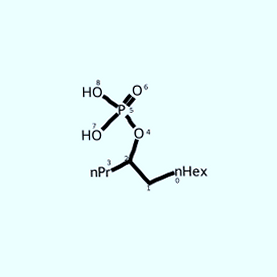 CCCCCCCC(CCC)OP(=O)(O)O